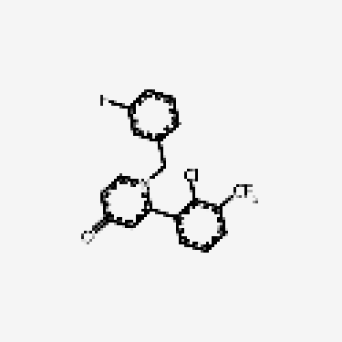 O=c1ccn(Cc2cccc(F)c2)c(-c2cccc(C(F)(F)F)c2Cl)c1